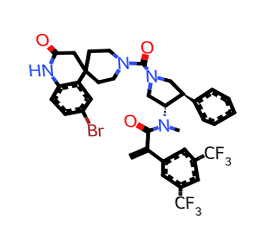 C=C(C(=O)N(C)[C@@H]1CN(C(=O)N2CCC3(CC2)CC(=O)Nc2ccc(Br)cc23)C[C@H]1c1ccccc1)c1cc(C(F)(F)F)cc(C(F)(F)F)c1